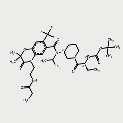 CCC(=O)NCCN1C(=O)C(C)(C)Oc2cc(C(F)(F)F)c(C(=O)N(C(C)C)[C@@H]3CCCN(C(=O)[C@H](CC)NC(=O)OC(C)(C)C)C3)cc21